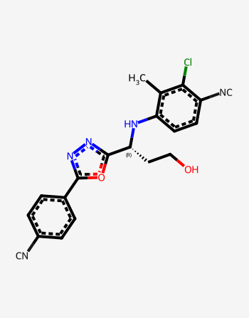 [C-]#[N+]c1ccc(-c2nnc([C@@H](CCO)Nc3ccc([N+]#[C-])c(Cl)c3C)o2)cc1